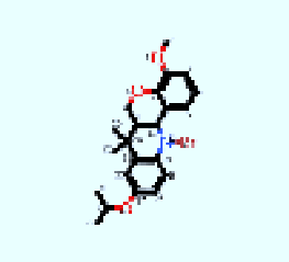 COc1cccc2c1OCC1C2N(Br)c2ccc(OC(C)C)cc2C1(C)C